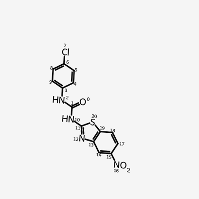 O=C(Nc1ccc(Cl)cc1)Nc1nc2cc([N+](=O)[O-])ccc2s1